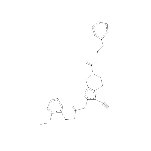 COc1ccccc1[C@@H](C)CC(=O)Nc1sc2c(c1C#N)CCN(C(=O)OCCc1ccncc1)C2